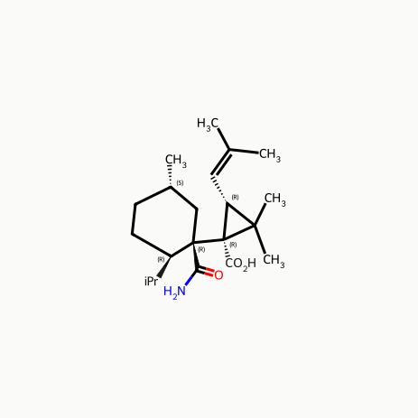 CC(C)=C[C@@H]1C(C)(C)[C@@]1(C(=O)O)[C@@]1(C(N)=O)C[C@@H](C)CC[C@@H]1C(C)C